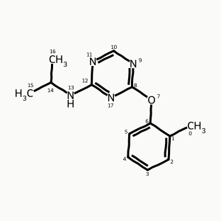 Cc1ccccc1Oc1ncnc(NC(C)C)n1